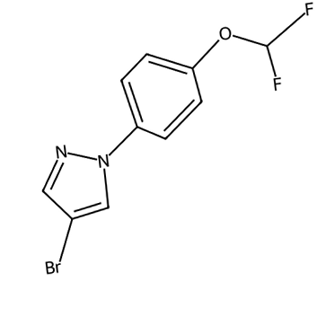 FC(F)Oc1ccc(-n2cc(Br)cn2)cc1